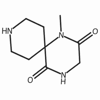 CN1C(=O)CNC(=O)C12CCNCC2